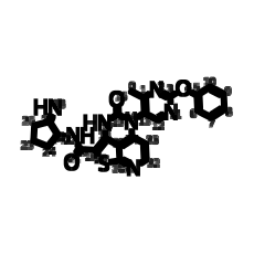 Cc1nc(Oc2ccccc2)ncc1N1C(=O)Nc2c(C(=O)N[C@@H]3CCCC3=N)sc3nccc1c23